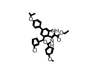 CCOC(=O)c1[nH]c2cc(-c3ccc(OC(C)C)cc3)cc(Cc3cccc(Cl)c3)c2c1NC(=O)c1ccc(OC)cc1